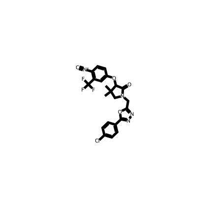 [C-]#[N+]c1ccc(OC2C(=O)N(Cc3nnc(-c4ccc(Cl)cc4)o3)CC2(C)C)cc1C(F)(F)F